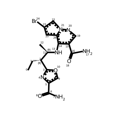 CC[C@@H](c1nc(C(N)=O)co1)[C@@H](C)Nc1c(C(N)=O)cnn2cc(Br)cc12